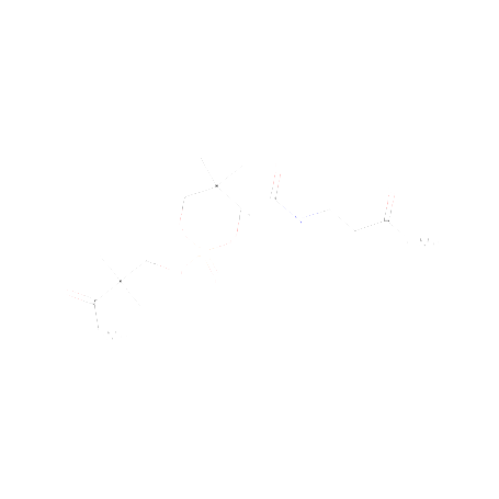 COC(=O)CCNC(=O)[C@@H]1OP(=O)(OCC(C)(C)C(=O)OC)OCC1(C)C